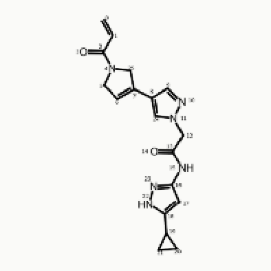 C=CC(=O)N1CC=C(c2cnn(CC(=O)Nc3cc(C4CC4)[nH]n3)c2)C1